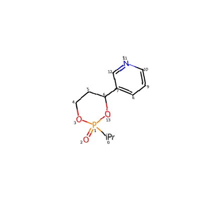 CC(C)P1(=O)OCCC(c2cccnc2)O1